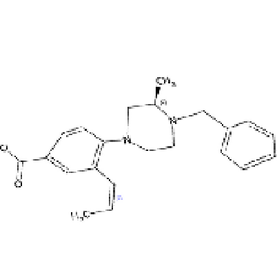 C/C=C\c1cc(C(=O)O)ccc1N1CCN(Cc2ccccc2)[C@H](C)C1